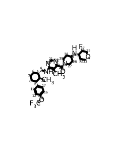 Cc1c(NC[C@H]2CCC[C@@H](c3ccc(OC(F)(F)F)cc3)[C@H]2C)ncnc1C(=O)N1CCC(N[C@H]2CCOC[C@H]2F)CC1